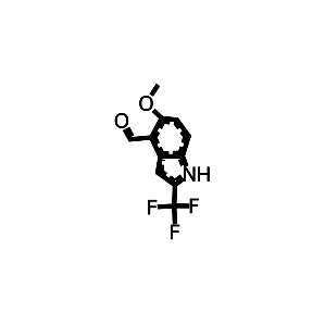 COc1ccc2[nH]c(C(F)(F)F)cc2c1C=O